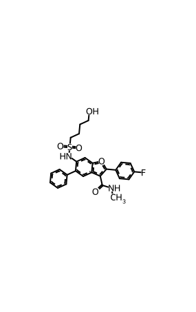 CNC(=O)c1c(-c2ccc(F)cc2)oc2cc(NS(=O)(=O)CCCCO)c(-c3ccccc3)cc12